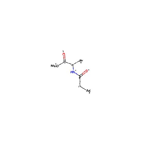 COC(=O)C(NC(=O)CC(C)=O)C(C)C